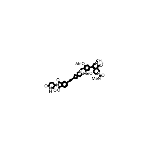 CNC(=O)N1CCc2c(-c3cc(OC)c(CN4CCC5(CC(C#Cc6ccc7c(c6)C(=O)N(C6CCC(=O)NC6=O)C7=O)C5)C4)c(OC)c3)cn(C)c(=O)c2C1